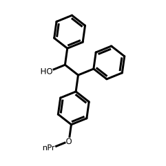 CCCOc1ccc(C(c2ccccc2)C(O)c2ccccc2)cc1